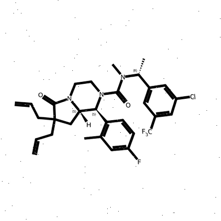 C=CCC1(CC=C)C[C@H]2[C@H](c3ccc(F)cc3C)N(C(=O)N(C)[C@H](C)c3cc(Cl)cc(C(F)(F)F)c3)CCN2C1=O